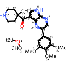 CC(C)(C)OC=O.COc1cc(-c2cnc3[nH]cc(C(=O)C4(C)CCNCC4)c3n2)cc(OC)c1OC